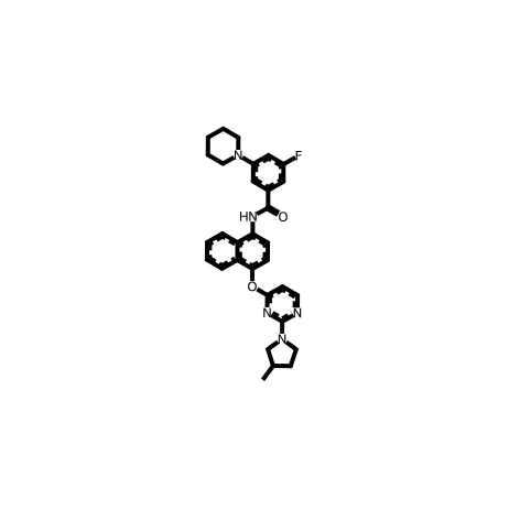 CC1CCN(c2nccc(Oc3ccc(NC(=O)c4cc(F)cc(N5CCCCC5)c4)c4ccccc34)n2)C1